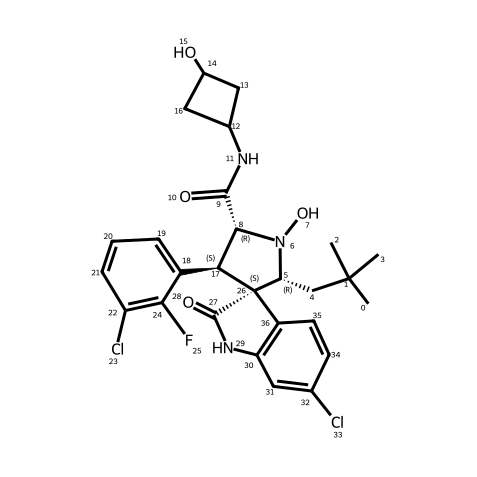 CC(C)(C)C[C@H]1N(O)[C@@H](C(=O)NC2CC(O)C2)[C@H](c2cccc(Cl)c2F)[C@@]12C(=O)Nc1cc(Cl)ccc12